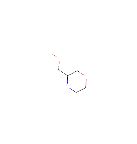 CC(C)OCC1COCCN1